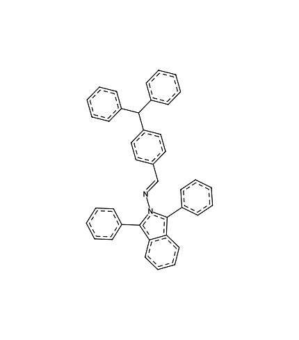 C(=Nn1c(-c2ccccc2)c2ccccc2c1-c1ccccc1)c1ccc(C(c2ccccc2)c2ccccc2)cc1